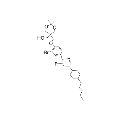 CCCCCC1CCC(c2ccc(-c3ccc(OCC4(CO)COC(C)(C)OC4)c(Br)c3)c(F)c2)CC1